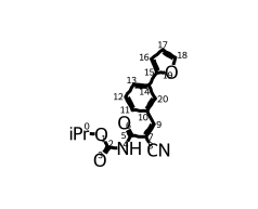 CC(C)OC(=O)NC(=O)C(C#N)=Cc1cccc(-c2ccco2)c1